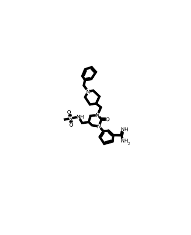 CS(=O)(=O)NCC1CN(CC2CCN(Cc3ccccc3)CC2)C(=O)N(c2cccc(C(=N)N)c2)C1